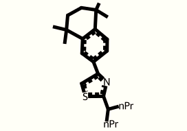 CCCC(CCC)c1nc(-c2ccc3c(c2)C(C)(C)CCC3(C)C)cs1